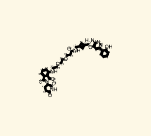 Nc1nnc(-c2ccccc2O)cc1OCC12CC(CNC(=O)CCOCCOCCNc3cccc4c3C(=O)N(C3CCC(=O)NC3=O)C4=O)(C1)C2